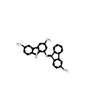 Cc1ccc2c(c1)-c1ccccc1/C2=N\c1cc(C)cc2c1[nH]c1ccc(C)cc12